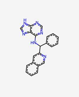 c1ccc(C(Nc2ncnc3[nH]cnc23)c2cc3ccccc3cn2)cc1